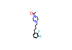 CC(=O)N1CCN(CCCCc2cccc(F)c2F)CC1